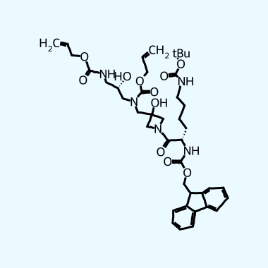 C=CCOC(=O)NC[C@H](O)CN(CC1(O)CN(C(=O)[C@H](CCCCNC(=O)OC(C)(C)C)NC(=O)OCC2c3ccccc3-c3ccccc32)C1)C(=O)OCC=C